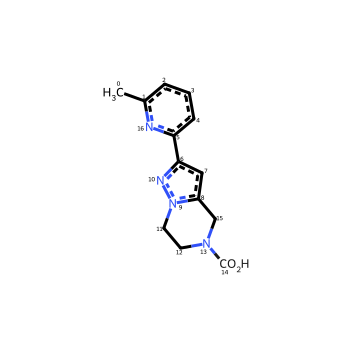 Cc1cccc(-c2cc3n(n2)CCN(C(=O)O)C3)n1